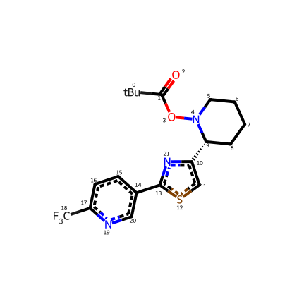 CC(C)(C)C(=O)ON1CCCC[C@@H]1c1csc(-c2ccc(C(F)(F)F)nc2)n1